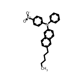 CCCCCc1ccc2cc(N(c3ccccc3)c3ccc([N+](=O)[O-])cc3)ccc2c1